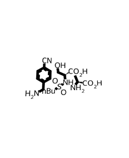 CCCCS(=O)(=O)N[C@H](CO)C(=O)O.C[C@H](N)C(=O)O.N#Cc1ccc(CN)cc1